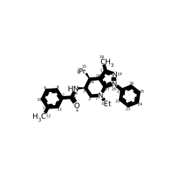 CCN1C[C@@H](NC(=O)c2cccc(C)c2)[C@@H](C(C)C)c2c(C)nn(-c3ccccc3)c21